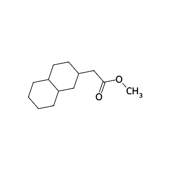 COC(=O)CC1CCC2CCCCC2C1